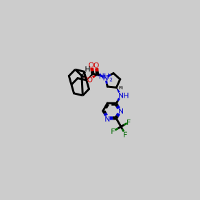 NC(=O)[C@]12CC3CC(C1)[C@@H](OC(=O)N1CC[C@@H](Nc4ccnc(C(F)(F)F)n4)C1)C(C3)C2